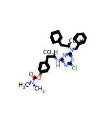 CN(C)C(=O)Oc1ccc(C[C@H](Nc2nc(Cl)nc(N(Cc3ccccc3)C(Cc3ccccc3)C(=O)O)n2)C(=O)O)cc1